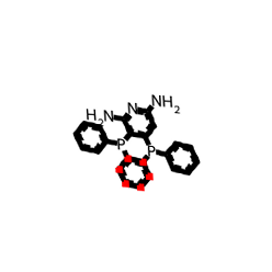 Nc1cc(P(c2ccccc2)c2ccccc2)c(P(c2ccccc2)c2ccccc2)c(N)n1